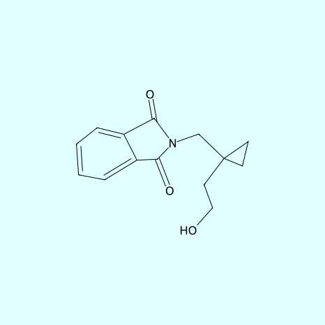 O=C1c2ccccc2C(=O)N1CC1(CCO)CC1